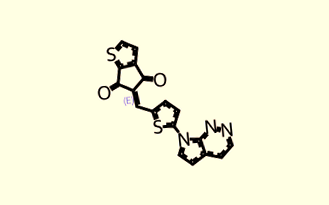 O=C1/C(=C\c2ccc(-n3ccc4ccnnc43)s2)C(=O)c2sccc21